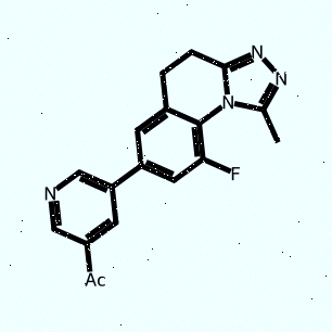 CC(=O)c1cncc(-c2cc(F)c3c(c2)CCc2nnc(C)n2-3)c1